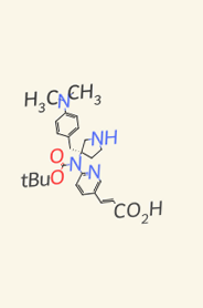 CN(C)c1ccc(C[C@@]2(N(C(=O)OC(C)(C)C)c3ccc(/C=C/C(=O)O)cn3)CCNC2)cc1